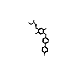 CCN(C)C=Nc1cc(C)c(Cc2ccc(-c3ccc(F)cc3)cc2)cc1C